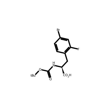 CC(C)(C)OC(=O)N[C@@H](Cc1ccc(Br)cc1F)C(=O)O